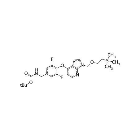 CC(C)(C)OC(=O)NCc1cc(F)c(Oc2ccnc3c2ccn3COCC[Si](C)(C)C)c(F)c1